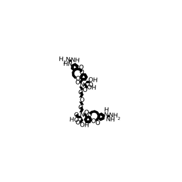 N=C(N)Nc1ccc2c(c1)CCCOc1c(cccc1C(=O)N(CCOCCOCCOCCN(C(=O)c1cccc3c1OCCCc1cc(NC(=N)N)ccc1C(=O)O3)[C@@H](CC(=O)O)C(=O)O)[C@@H](CC(=O)O)C(=O)O)OC2=O